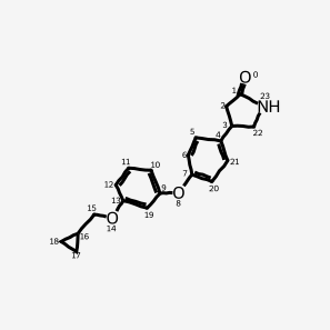 O=C1CC(c2ccc(Oc3cccc(OCC4CC4)c3)cc2)CN1